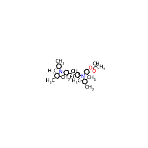 C=C(C)C(=O)Oc1ccc(N(c2ccc(C(C)(CC)c3ccc(N(c4ccc(C)cc4)c4c(C)cc(C)cc4C)cc3)cc2)c2c(C)cc(C)cc2C)cc1